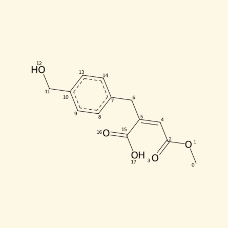 COC(=O)C=C(Cc1ccc(CO)cc1)C(=O)O